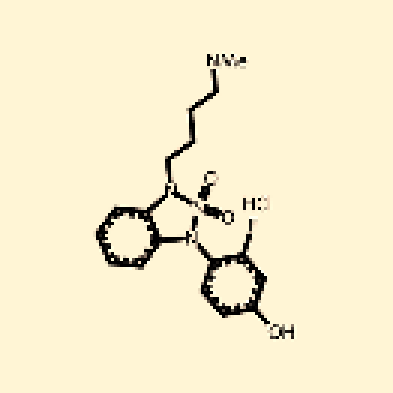 CNCCCCN1c2ccccc2N(c2ccc(O)cc2F)S1(=O)=O.Cl